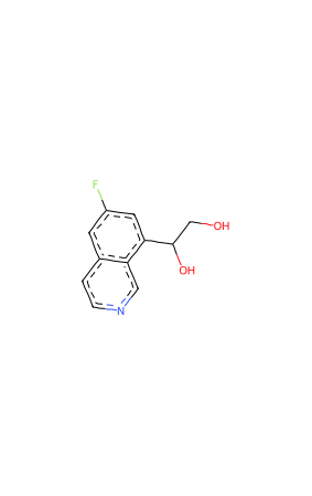 OCC(O)c1cc(F)cc2ccncc12